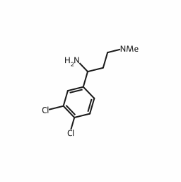 CNCCC(N)c1ccc(Cl)c(Cl)c1